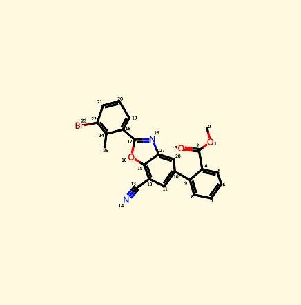 COC(=O)c1ccccc1-c1cc(C#N)c2oc(-c3cccc(Br)c3C)nc2c1